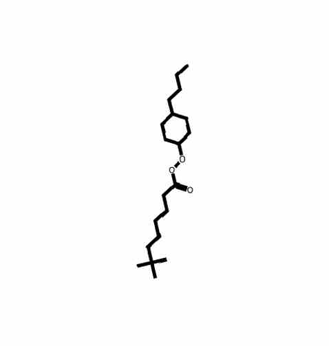 CCCCC1CCC(OOC(=O)CCCCCC(C)(C)C)CC1